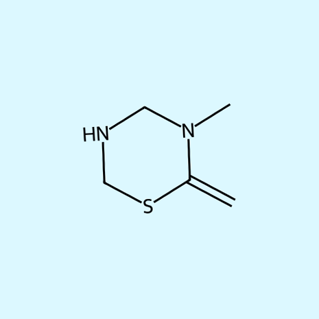 C=C1SCNCN1C